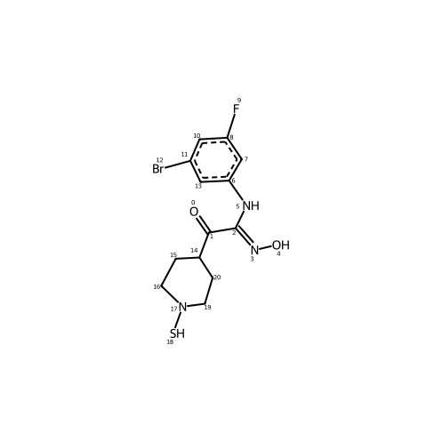 O=C(/C(=N/O)Nc1cc(F)cc(Br)c1)C1CCN(S)CC1